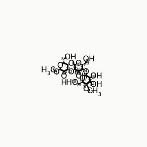 CO[C@H]1O[C@H](CO)C(OC2C[C@H](O)C(OC3O[C@H](CO)[C@@H](OC)[C@H](O)[C@H]3O)[C@H](CO)O2)[C@H](O)[C@H]1O